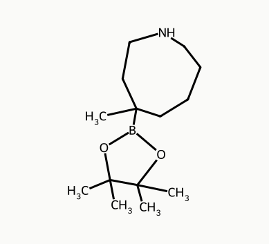 CC1(B2OC(C)(C)C(C)(C)O2)CCCCNCC1